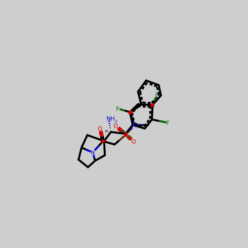 CN(Cc1ccccc1)S(=O)(=O)CC(=O)N1C2CCC1CC([C@H](N)Cc1cc(F)c(F)cc1F)C2